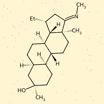 CC[C@@H]1C/C(=N\C)[C@@]2(C)CC[C@H]3[C@@H](CC[C@@H]4C[C@](C)(O)CC[C@@H]43)[C@H]12